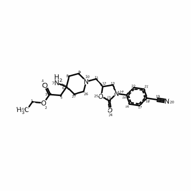 CCOC(=O)CC1(N)CCN(CC2CN(c3ccc(C#N)cc3)C(=O)O2)CC1